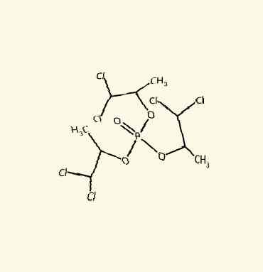 CC(OP(=O)(OC(C)C(Cl)Cl)OC(C)C(Cl)Cl)C(Cl)Cl